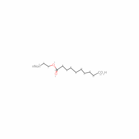 CCCCCCCCCCCOC(=O)CCCCCCCCC(=O)O